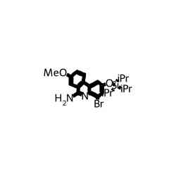 COc1ccc2c(c1)c(N)nc1c(Br)cc(O[Si](C(C)C)(C(C)C)C(C)C)cc12